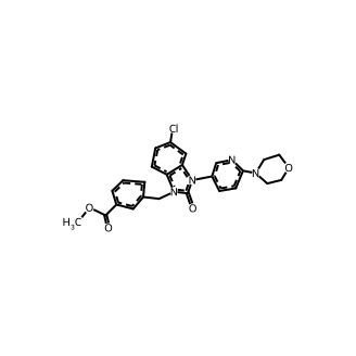 COC(=O)c1cccc(Cn2c(=O)n(-c3ccc(N4CCOCC4)nc3)c3cc(Cl)ccc32)c1